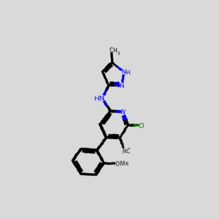 [C-]#[N+]c1c(-c2ccccc2OC)cc(Nc2cc(C)[nH]n2)nc1Cl